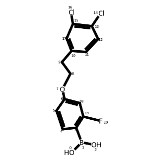 OB(O)c1ccc(OCCc2ccc(Cl)c(Cl)c2)cc1F